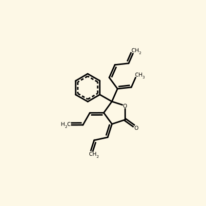 C=C/C=C\C(=C/C)C1(c2ccccc2)OC(=O)C(=C/C=C)/C1=C\C=C